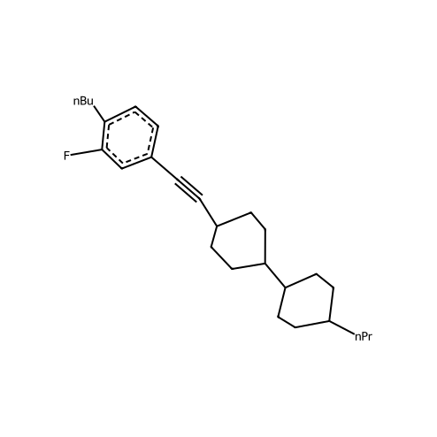 CCCCc1ccc(C#CC2CCC(C3CCC(CCC)CC3)CC2)cc1F